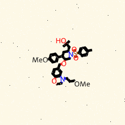 COCCCN1CCOc2ccc(COC3CN(S(=O)(=O)c4ccc(C)cc4)C(CC(C)(C)O)CC3c3ccc(OC)cc3)cc21